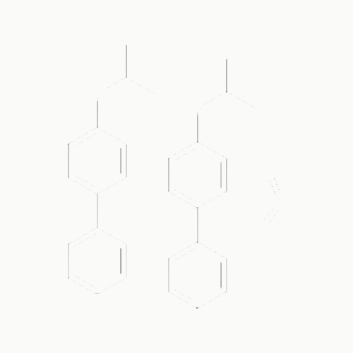 CC(C)Oc1ccc(-c2ccccc2)cc1.CC(C)Oc1ccc(-c2ccccc2)cc1.O=S=O